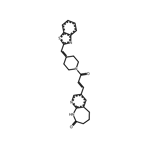 O=C1CCCc2cc(/C=C/C(=O)N3CCC(=Cc4nc5ccccc5s4)CC3)cnc2N1